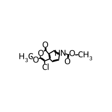 CCOC(=O)Nc1ccc2c(Cl)c(OC)oc(=O)c2c1